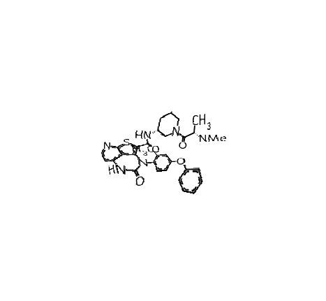 CN[C@@H](C)C(=O)N1CCC[C@@H](NC(=O)c2sc3nccc4c3c2N(c2ccc(Oc3ccccc3)cc2C)C(=O)N4)C1